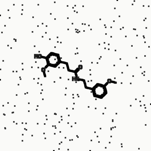 COc1cccc(CCNC(=O)CCc2ccc(O)c(OC)c2)c1